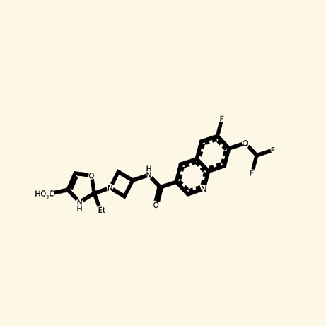 CCC1(N2CC(NC(=O)c3cnc4cc(OC(F)F)c(F)cc4c3)C2)NC(C(=O)O)=CO1